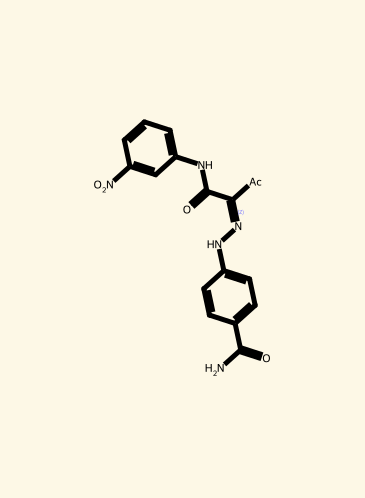 CC(=O)/C(=N/Nc1ccc(C(N)=O)cc1)C(=O)Nc1cccc([N+](=O)[O-])c1